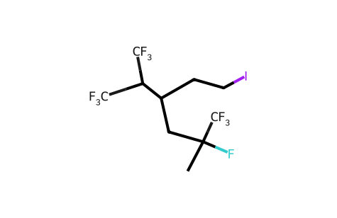 CC(F)(CC(CCI)C(C(F)(F)F)C(F)(F)F)C(F)(F)F